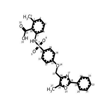 Cc1cccc(NS(=O)(=O)c2ccc(OCc3nc(-c4ccccc4)oc3C)cc2)c1C(=O)O